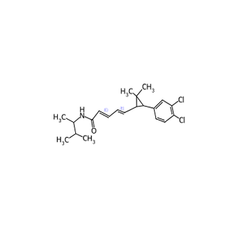 CC(C)C(C)NC(=O)/C=C/C=C/C1C(c2ccc(Cl)c(Cl)c2)C1(C)C